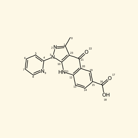 Cc1nn(-c2ccccn2)c2[nH]c3ccc(C(=O)O)cc3c(=O)c12